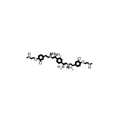 CNCCOc1ccc(CCN(N)/C=C(\N)c2ccc(/C(N)=C/N(N)CCc3ccc(OCCNC)c(Cl)c3)cc2)cc1Cl